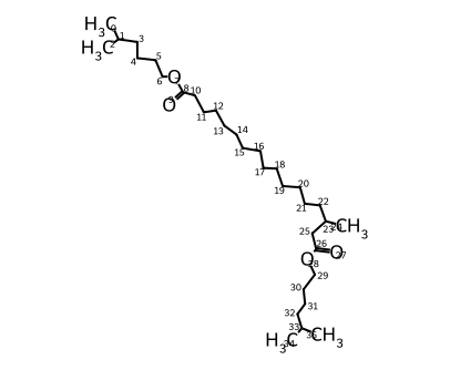 CC(C)CCCCOC(=O)CCCCCCCCCCCCCC(C)CC(=O)OCCCCC(C)C